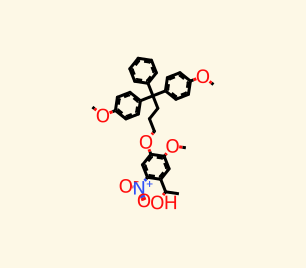 COc1ccc(C(CCCOc2cc([N+](=O)[O-])c(C(C)O)cc2OC)(c2ccccc2)c2ccc(OC)cc2)cc1